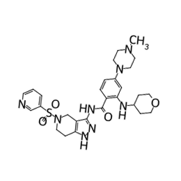 CN1CCN(c2ccc(C(=O)Nc3n[nH]c4c3CN(S(=O)(=O)c3cccnc3)CC4)c(NC3CCOCC3)c2)CC1